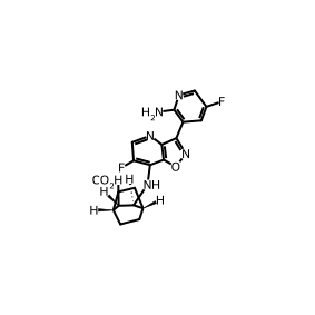 Nc1ncc(F)cc1-c1noc2c(N[C@H]3[C@H]4CC[C@H](CC4)[C@@H]3C(=O)O)c(F)cnc12